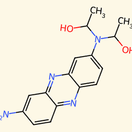 CC(O)N(c1ccc2nc3ccc(N)cc3nc2c1)C(C)O